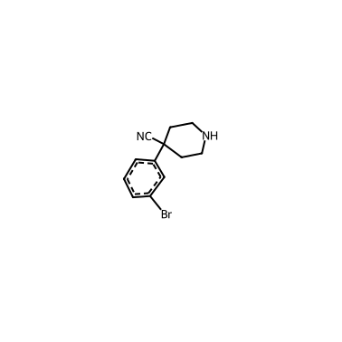 N#CC1(c2cccc(Br)c2)CCNCC1